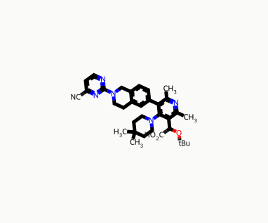 Cc1nc(C)c(C(OC(C)(C)C)C(=O)O)c(N2CCC(C)(C)CC2)c1-c1ccc2c(c1)CCN(c1nccc(C#N)n1)C2